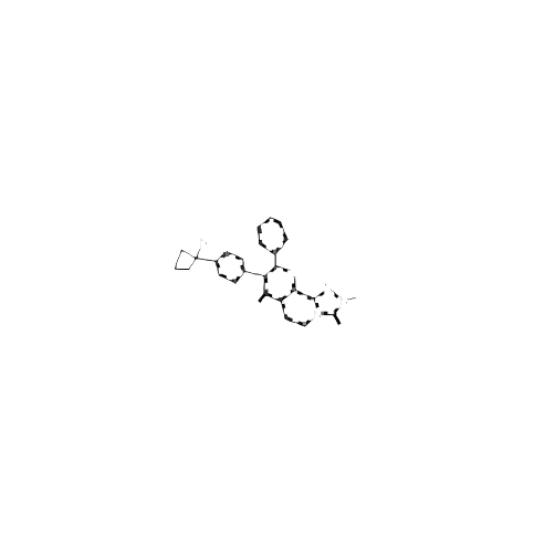 Cn1nc2c3oc(-c4ccccc4)c(-c4ccc(C5(N)CCC5)cc4)c(=O)c3ccn2c1=O